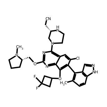 Cc1ccc2[nH]ncc2c1-c1c(Cl)cc2c(N3CCN[C@@H](CC#N)C3)nc(OC[C@@H]3CCCN3C)nc2c1OC1CC(F)(F)C1